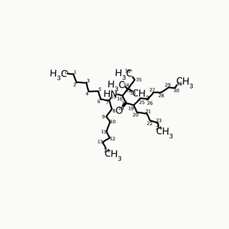 CCCCCCCC(CCCCCCC)NC(C(=O)C(CCCCC)CCCCCCC)C(C)(C)CC